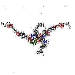 [C-]#[N+]/C(=C1/Sc2c(OC(F)(F)c3ccc(OC(=O)CCc4ccc5cc(OCCCCCCOC(=O)C=C)ccc5c4)c(F)c3F)c3c(c(C(=O)Nc4ccc(OC(=O)c5ccc6cc(OCCCOC(=O)C=C)ccc6c5)c(C)c4)c2S1)S/C(=C(/C#N)c1ccc(CCCCC)cc1)S3)c1ccc(CCCCC)cc1